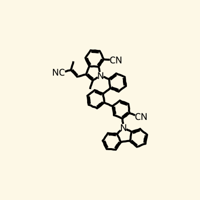 C/C(C#N)=C\c1c(C)n(-c2ccccc2-c2ccccc2-c2ccc(C#N)c(-n3c4ccccc4c4ccccc43)c2)c2c(C#N)cccc12